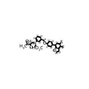 CN(C)C(=O)CN(CC(=O)O)c1cccc(COc2ccc(-c3cc(F)c(F)c4ccoc34)cc2)c1